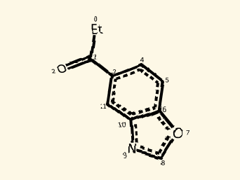 CCC(=O)c1ccc2ocnc2c1